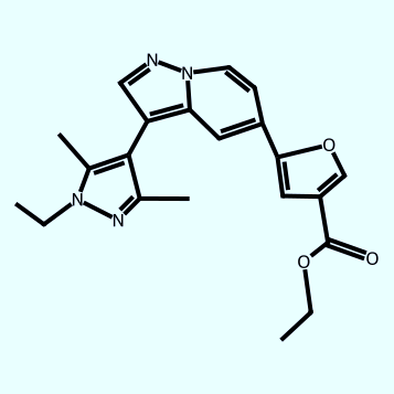 CCOC(=O)c1coc(-c2ccn3ncc(-c4c(C)nn(CC)c4C)c3c2)c1